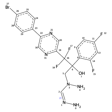 N/N=C\N(N)CC(O)(c1ccc(F)cc1F)C(F)(F)c1cnc(-c2ccc(Br)cc2)cn1